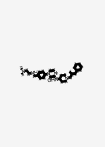 C/C(=C\c1ccccc1)CN1CCC(Nc2nccn(-c3ccc(CNCCN(C)C)cc3)c2=O)CC1